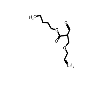 C=CCOCC(C=O)C(=O)OCCCCC